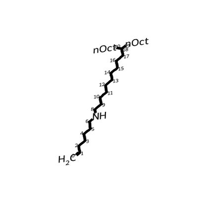 C=CCCCCCNCCCCCCCCCCC(CCCCCCCC)CCCCCCCC